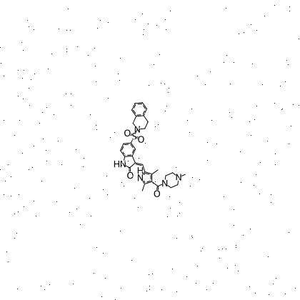 Cc1[nH]c(/C=C2\C(=O)Nc3ccc(S(=O)(=O)N4CCc5ccccc5C4)cc32)c(C)c1C(=O)N1CCN(C)CC1